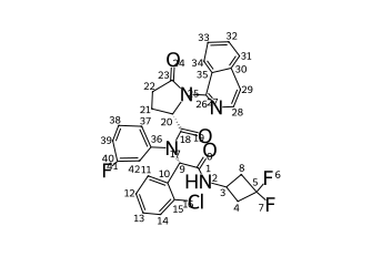 O=C(NC1CC(F)(F)C1)[C@H](c1ccccc1Cl)N(C(=O)[C@@H]1CCC(=O)N1c1nccc2ccccc12)c1cccc(F)c1